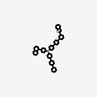 c1ccc(-c2ccc(-c3ccc(N(c4ccc(-c5ccc(-c6cccc(-c7cc8ccccc8o7)c6)cc5)cc4)c4ccc(-c5cccc6ccccc56)cc4)cc3)cc2)cc1